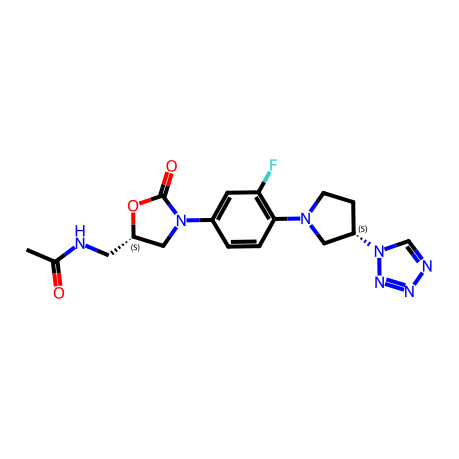 CC(=O)NC[C@H]1CN(c2ccc(N3CC[C@H](n4cnnn4)C3)c(F)c2)C(=O)O1